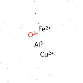 [Al+3].[Cu+2].[Fe+2].[O-2]